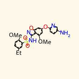 CCc1ccc(OC)c(S(=O)(=O)Nc2noc3cc(Oc4ccc(N)cn4)cc(OC)c23)c1